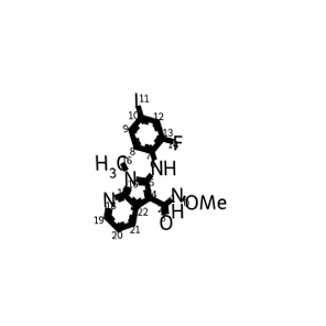 CONC(=O)c1c(Nc2ccc(I)cc2F)n(C)c2ncccc12